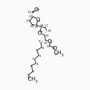 CCCCCCCCCC[C@@H](OCOC)[C@H]1CC[C@H]([C@H]2CC[C@H](C=O)O2)O1